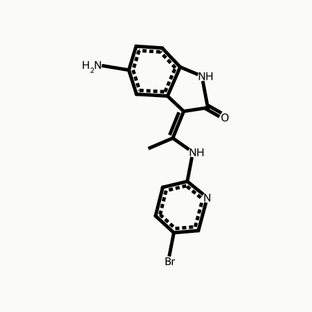 C/C(Nc1ccc(Br)cn1)=C1/C(=O)Nc2ccc(N)cc21